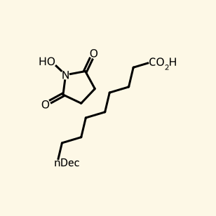 CCCCCCCCCCCCCCCCCC(=O)O.O=C1CCC(=O)N1O